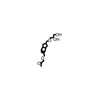 OCC(O)COCC1CC2C3CC(COCC4CO4)C(C3)C2C1